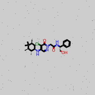 C[C@@H]1[C@@H](C)C(C)(C)[C@@H](C)C[C@H]1Nc1cnn(CC(=O)N[C@@H](CO)c2ccccc2)c(=O)c1Cl